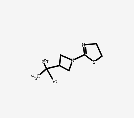 CCCC(C)(CC)C1CN(C2=NCCS2)C1